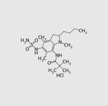 CCCCC1Cc2c(C)c(NS(N)(=O)=O)c(C)c(NC(=O)C(C)(C)C)c2N1C.Cl